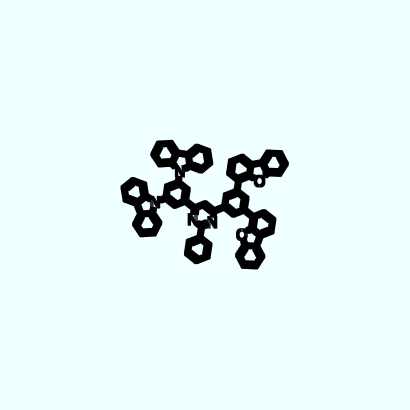 c1ccc(-c2nc(-c3cc(-c4cccc5c4oc4ccccc45)cc(-c4cccc5c4oc4ccccc45)c3)cc(-c3cc(-n4c5ccccc5c5ccccc54)cc(-n4c5ccccc5c5ccccc54)c3)n2)cc1